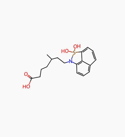 CC(CCCC(=O)O)CCN1c2cccc3cccc(c23)S1(O)O